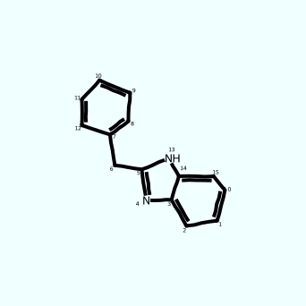 [c]1ccc2nc(Cc3ccccc3)[nH]c2c1